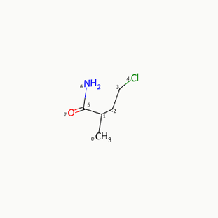 CC([CH]CCl)C(N)=O